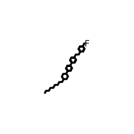 CCCCCCCCCC1CCC(c2ccc(-c3ccc(CCc4ccc(CF)cc4)cc3)cc2)CC1